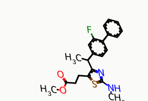 CNc1nc(C(C)c2ccc(-c3ccccc3)c(F)c2)c(CCC(=O)OC)s1